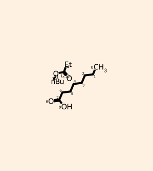 CCCCCCCC(=O)O.CCCCOC(=O)CC